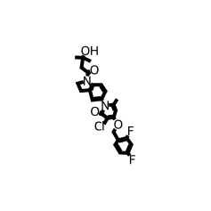 Cc1cc(OCc2ccc(F)cc2F)c(Cl)c(=O)n1-c1ccc2c(c1)CCN2C(=O)CC(C)(C)O